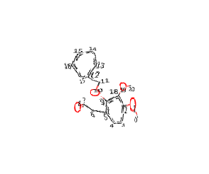 COc1ccc(CC=O)c(OCc2ccccc2)c1OC